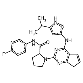 CC(C)c1cc(Nc2nc(N3CCC[C@@H]3C(=O)Nc3ccc(F)nc3)nc3c2C=CC3)n[nH]1